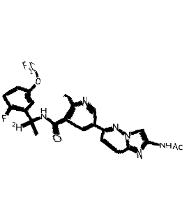 [2H]C(C)(NC(=O)c1cc(-c2ccc3nc(NC(C)=O)cn3n2)cnc1C)c1cc(OC(F)(F)F)ccc1F